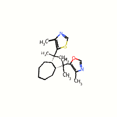 Cc1ncoc1C(C)(C)[C@@H]1CCCCC[C@@H]1C(C)(C)c1scnc1C